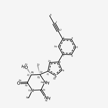 CC#Cc1cccc(-c2csc([C@@]3(C)NC(=N)N(C)C(=O)[C@@H]3O)c2)c1